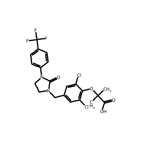 CC(C)(Oc1c(Cl)cc(CN2CCN(c3ccc(C(F)(F)F)cc3)C2=O)cc1Cl)C(=O)O